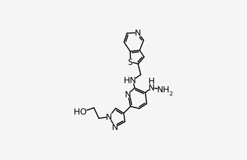 NNc1ccc(-c2cnn(CCO)c2)nc1NCc1cc2cnccc2s1